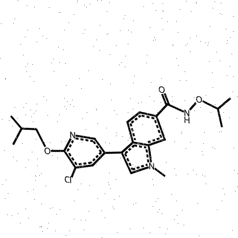 CC(C)COc1ncc(-c2cn(C)c3cc(C(=O)NOC(C)C)ccc23)cc1Cl